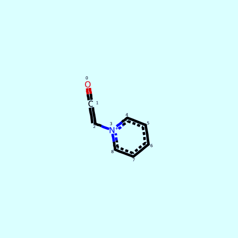 O=C=C[n+]1ccccc1